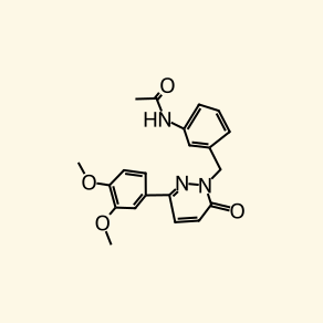 COc1ccc(-c2ccc(=O)n(Cc3cccc(NC(C)=O)c3)n2)cc1OC